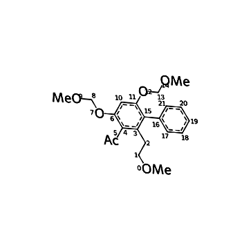 COCCc1c(C(C)=O)c(OCOC)cc(OCOC)c1-c1ccccc1